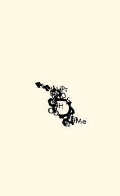 CCn1c(-c2cccnc2[C@H](C)OC)c2c3cc(ccc31)-c1csc(n1)C[C@H](NC(=O)[C@H](C(C)C)N(C)C(=O)N1CC(N3CCC3)C1)C(=O)N1CCC[C@H](N1)C(=O)OCC(C)(C)C2